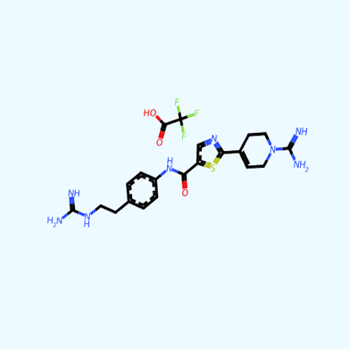 N=C(N)NCCc1ccc(NC(=O)c2cnc(C3=CCN(C(=N)N)CC3)s2)cc1.O=C(O)C(F)(F)F